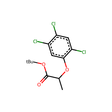 CC(Oc1cc(Cl)c(Cl)cc1Cl)C(=O)OC(C)(C)C